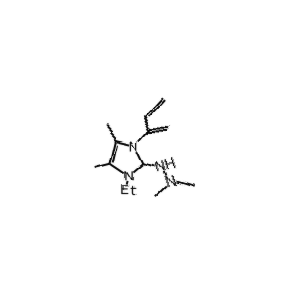 C=CC(=C)N1C(C)=C(C)N(CC)C1NN(C)C